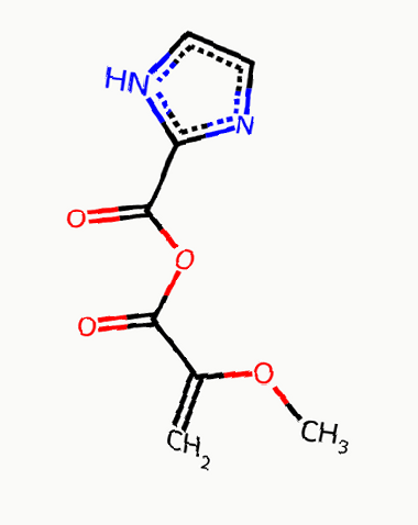 C=C(OC)C(=O)OC(=O)c1ncc[nH]1